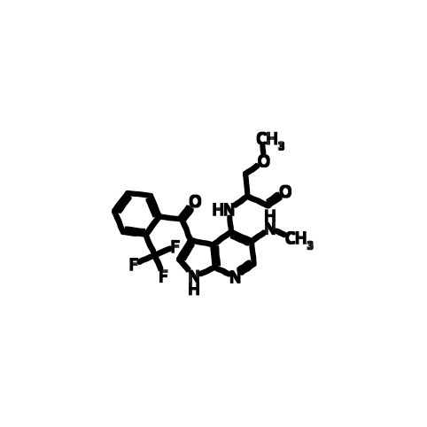 CNc1cnc2[nH]cc(C(=O)c3ccccc3C(F)(F)F)c2c1NC(C=O)COC